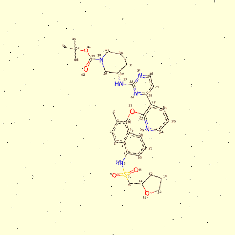 Cc1ccc2c(NS(=O)(=O)CC3CCCO3)cccc2c1Oc1ncccc1-c1ccnc(N[C@H]2CCCN(C(=O)OC(C)(C)C)C2)n1